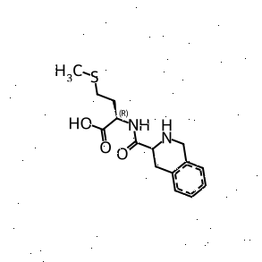 CSCC[C@@H](NC(=O)C1Cc2ccccc2CN1)C(=O)O